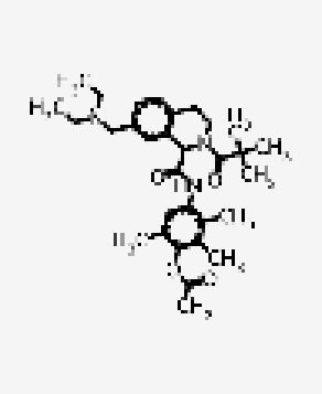 CCN(CC)Cc1ccc2c(c1)C(C(=O)Nc1cc(C)c(OC(C)=O)c(C)c1C)N(C(=O)C(C)(C)C)CC2